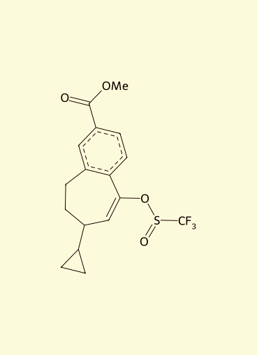 COC(=O)c1ccc2c(c1)CCC(C1CC1)C=C2OS(=O)C(F)(F)F